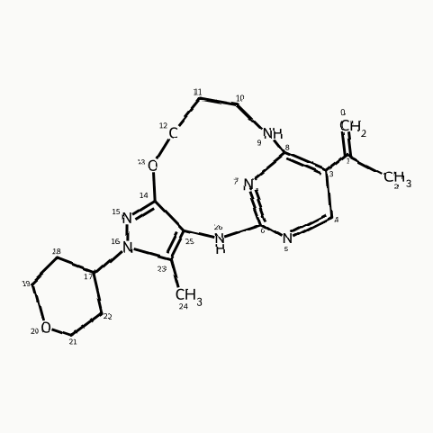 C=C(C)c1cnc2nc1NCCCOc1nn(C3CCOCC3)c(C)c1N2